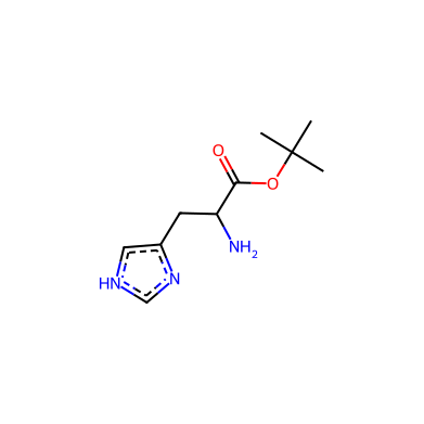 CC(C)(C)OC(=O)C(N)Cc1c[nH]cn1